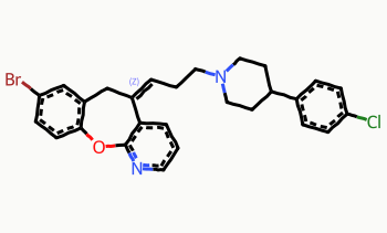 Clc1ccc(C2CCN(CC/C=C3/Cc4cc(Br)ccc4Oc4ncccc43)CC2)cc1